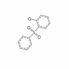 [O]c1ccccc1S(=O)(=O)c1[c]cccc1